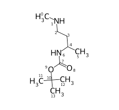 CNCCC(C)NC(=O)OC(C)(C)C